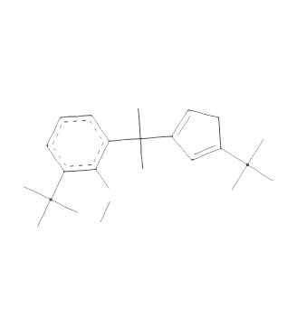 COc1c(C(C)(C)C)cccc1C(C)(C)C1=CCC(C(C)(C)C)=C1